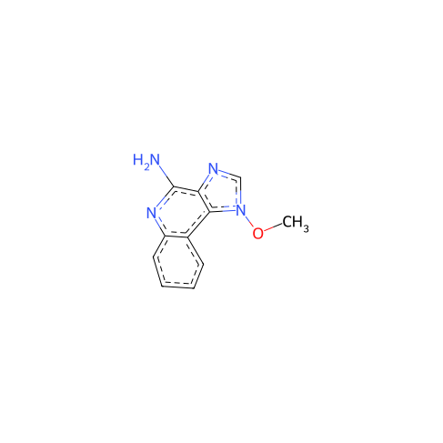 COn1cnc2c(N)nc3ccccc3c21